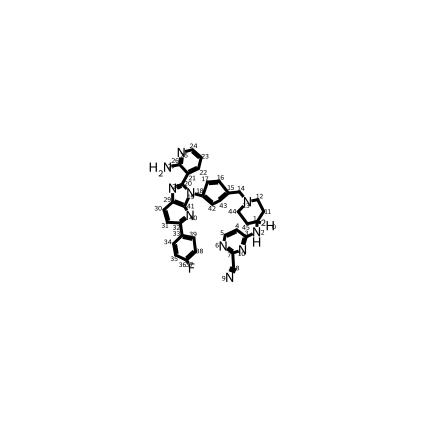 [2H]C1(Nc2ccnc(C#N)n2)CCN(Cc2ccc(-n3c(-c4cccnc4N)nc4ccc(-c5ccc(F)cc5)nc43)cc2)CC1